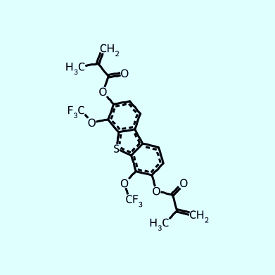 C=C(C)C(=O)Oc1ccc2c(sc3c(OC(F)(F)F)c(OC(=O)C(=C)C)ccc32)c1OC(F)(F)F